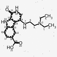 CCN(CC)CCNc1c[nH]c(=O)c2[nH]c3ccc(C(=O)O)cc3c12